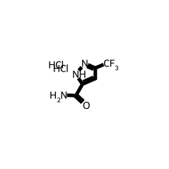 Cl.Cl.NC(=O)c1cc(C(F)(F)F)n[nH]1